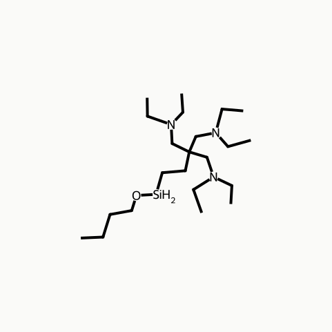 CCCCO[SiH2]CCC(CN(CC)CC)(CN(CC)CC)CN(CC)CC